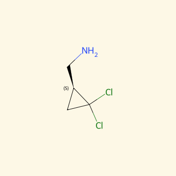 NC[C@@H]1CC1(Cl)Cl